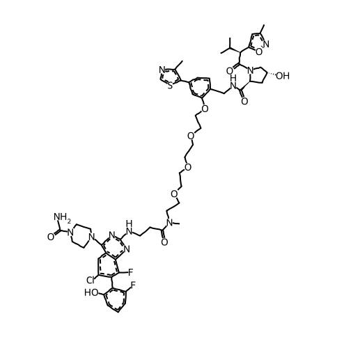 Cc1cc([C@@H](C(=O)N2C[C@H](O)C[C@H]2C(=O)NCc2ccc(-c3scnc3C)cc2OCCOCCOCCOCCN(C)C(=O)CCNc2nc(N3CCN(C(N)=O)CC3)c3cc(Cl)c(-c4c(O)cccc4F)c(F)c3n2)C(C)C)on1